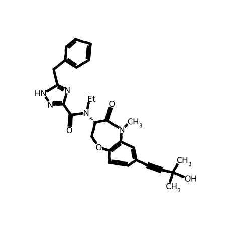 CCN(C(=O)c1n[nH]c(Cc2ccccc2)n1)[C@H]1COc2ccc(C#CC(C)(C)O)cc2N(C)C1=O